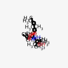 CCCCC(C)(CCC)OC(=O)c1nc(-c2cc(C(C)(C)C)c(O)c(C(C)(C)C)c2)[nH]c1C(=O)Oc1ccc(C(C)(C)c2ccc3c(c2)C3(C)CC)cc1